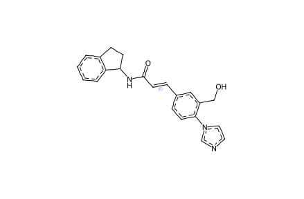 O=C(/C=C/c1ccc(-n2ccnc2)c(CO)c1)NC1CCc2ccccc21